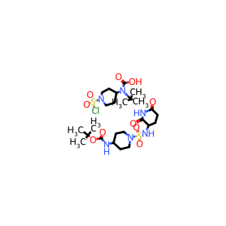 CC(C)(C)N(C(=O)O)C1CCN(S(=O)(=O)Cl)CC1.CC(C)(C)OC(=O)NC1CCN(S(=O)(=O)NC2CCC(=O)NC2=O)CC1